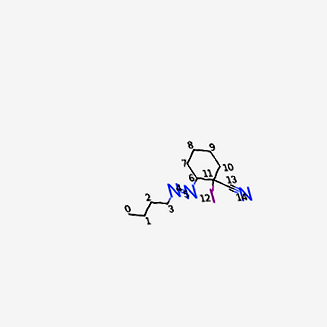 CCCCN=NC1CCCCC1(I)C#N